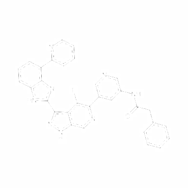 O=C(Cc1ccccc1)Nc1cncc(-c2ncc3[nH]nc(-c4nc5c(-c6ccccn6)cccc5[nH]4)c3c2F)c1